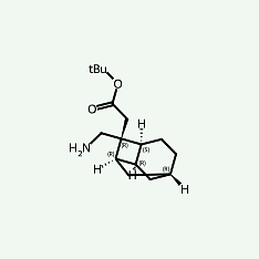 CC(C)(C)OC(=O)C[C@]1(CN)[C@@H]2C[C@@H]3CC[C@H]1[C@H]2C3